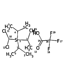 CC(C)[Si](C(C)C)(C(C)C)C(Cl)Cl.O=C(O)C(F)(F)F